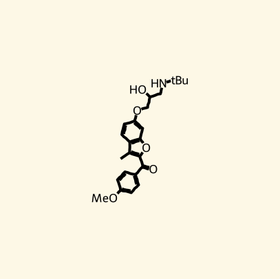 COc1ccc(C(=O)c2oc3cc(OCC(O)CNC(C)(C)C)ccc3c2C)cc1